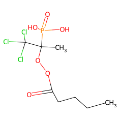 CCCCC(=O)OOC(C)(C(Cl)(Cl)Cl)P(=O)(O)O